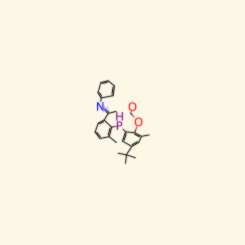 COCOc1c(C)cc(C(C)(C)C)cc1Pc1c(C)cccc1/C(C)=N/c1ccccc1